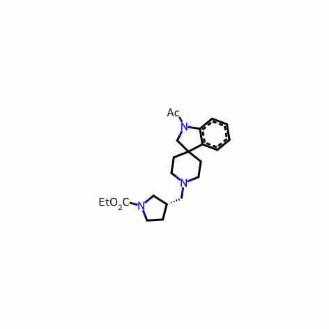 CCOC(=O)N1CC[C@@H](CN2CCC3(CC2)CN(C(C)=O)c2ccccc23)C1